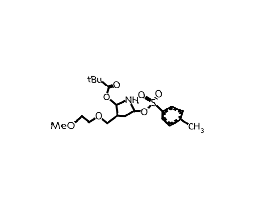 COCCOCC1CC(OS(=O)(=O)c2ccc(C)cc2)NC1OC(=O)C(C)(C)C